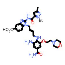 CCn1nc(C)cc1C(=O)Nc1nc2cc(C(=O)O)ccc2n1C/C=C/CNc1c(N)cc(C(N)=O)cc1OCCN1CCOCC1